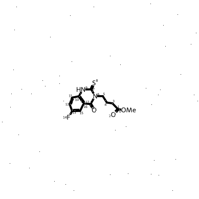 COC(=O)CCCn1c(=S)[nH]c2ccc(F)cc2c1=O